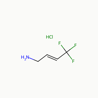 Cl.NCC=CC(F)(F)F